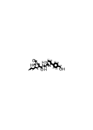 CCCCC[C@@H](CN(O)C=O)C(=O)NNc1nccc(-c2ccc(CO)cc2)n1